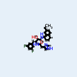 CCc1ccc2c(c1)[C@H](NC[C@H](O)[C@H](Cc1cc(F)cc(F)c1)NC(=O)Cc1c[nH]cn1)CCC2